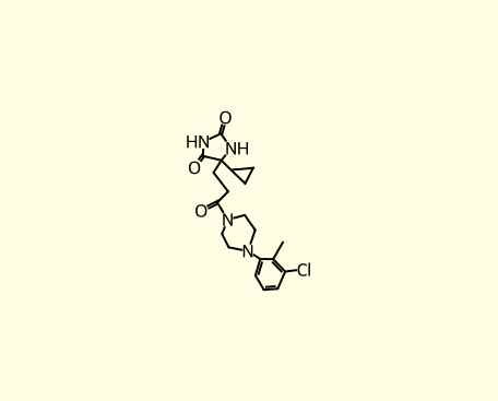 Cc1c(Cl)cccc1N1CCN(C(=O)CCC2(C3CC3)NC(=O)NC2=O)CC1